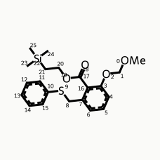 COCOc1cccc(CSc2ccccc2)c1C(=O)OCC[Si](C)(C)C